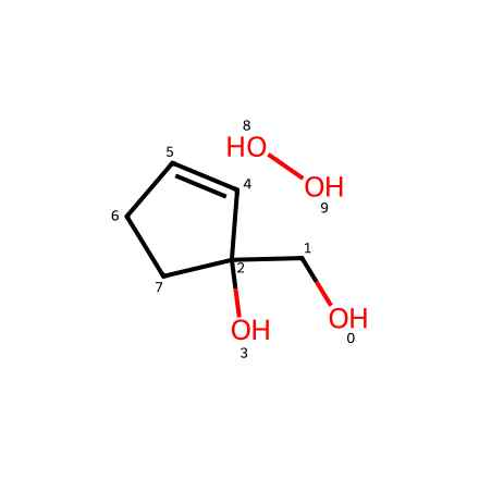 OCC1(O)C=CCC1.OO